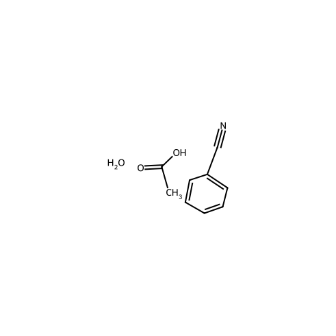 CC(=O)O.N#Cc1ccccc1.O